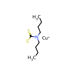 CCCCN(CCCC)C(=S)[S-].[Cu+]